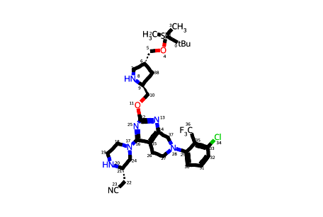 CC(C)(C)[Si](C)(C)OC[C@H]1CN[C@H](COc2nc3c(c(N4CCN[C@@H](CC#N)C4)n2)CCN(c2cccc(Cl)c2C(F)(F)F)C3)C1